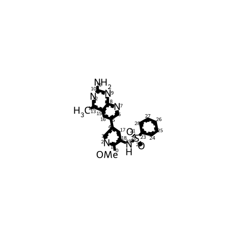 COc1ncc(-c2cnc3nc(N)nc(C)c3c2)cc1NS(=O)(=O)c1ccccc1